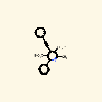 CCOC(=O)c1c(C)nc(-c2ccccc2)c(C(=O)OCC)c1C#Cc1ccccc1